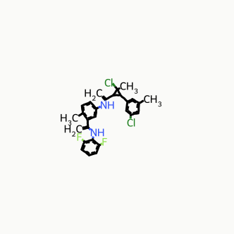 C=C(Nc1c(F)cccc1F)c1cc(NC(=C)C2C(c3cc(C)cc(Cl)c3)C2(C)Cl)ccc1C